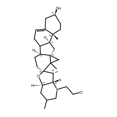 CC1C[C@H]2O[C@]3(CC[C@H]4C5CC=C6C[C@@H](O)CC[C@]6(C)[C@H]5C[C@@]45CC53C)[C@H](C)[C@@H]2N(CCCl)C1